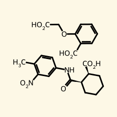 Cc1ccc(NC(=O)[C@@H]2CCCC[C@@H]2C(=O)O)cc1[N+](=O)[O-].O=C(O)COc1ccccc1C(=O)O